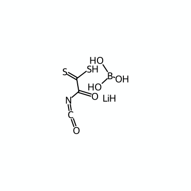 O=C=NC(=O)C(=S)S.OB(O)O.[LiH]